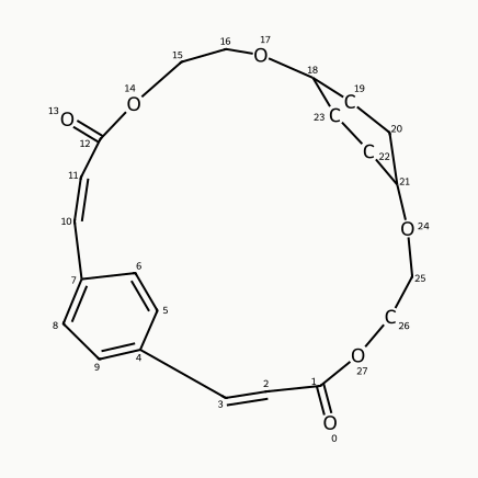 O=C1C=Cc2ccc(cc2)C=CC(=O)OCCOC2CCC(CC2)OCCO1